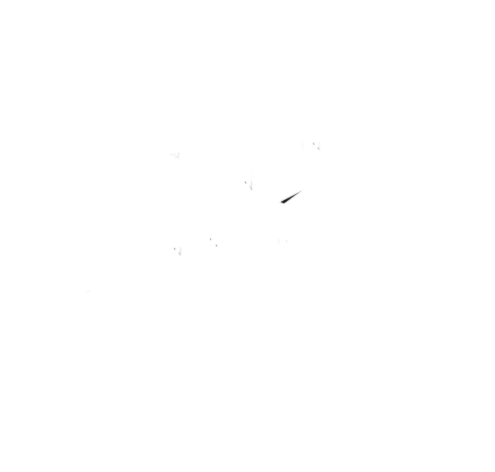 CC1CN[C@H](C(=O)Nc2nn(CC(F)(F)F)cc2Br)C1